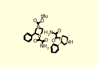 CC(C)(C)OC(=O)N1CCN(C(=O)C(N)=O)C(c2ccccc2)C1.NC(=O)C(=O)N1CCNC[C@@H]1c1ccccc1